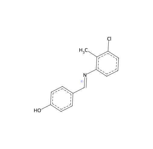 Cc1c(Cl)cccc1/N=C/c1ccc(O)cc1